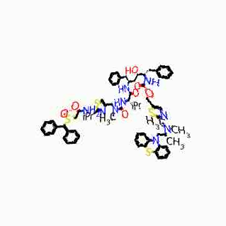 CC(C)c1nc(CN(C)C(=O)N[C@H](C(=O)N[C@@H](Cc2ccccc2)C[C@H](O)[C@H](Cc2ccccc2)NC(=O)OCc2cncs2)C(C)C)cs1.CC(CN1c2ccccc2Sc2ccccc21)N(C)C.NC(=O)C[S+]([O-])C(c1ccccc1)c1ccccc1